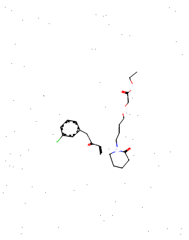 CCOC(=O)COCCCCN1C(=O)CCC[C@@H]1C=CC(=O)Cc1cccc(Cl)c1